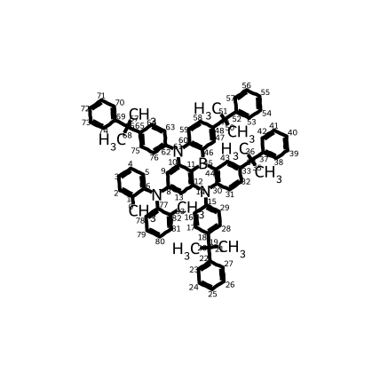 Cc1ccccc1N(c1cc2c3c(c1)N(c1ccc(C(C)(C)c4ccccc4)cc1)c1ccc(C(C)(C)c4ccccc4)cc1B3c1cc(C(C)(C)c3ccccc3)ccc1N2c1ccc(C(C)(C)c2ccccc2)cc1)c1ccccc1C